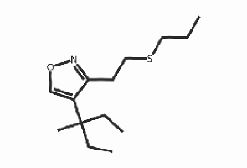 CCCSCCc1nocc1C(C)(CC)CC